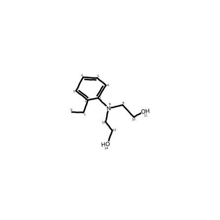 CCc1ccccc1N(CCO)CCO